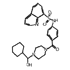 O=C(c1ccc(NS(=O)(=O)c2cccc3cccnc23)cc1)N1CCN(C(O)C2CCCCC2)CC1